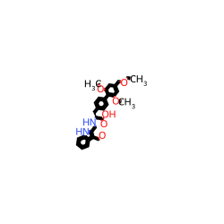 CCOCC1=CC(OC)=C(c2ccc(C[C@H](NCc3[nH]c4ccccc4c3C=O)C(=O)O)cc2)C(OC)C1